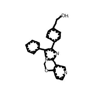 OCc1ccc(-c2nc3n(c2-c2ccccc2)COc2ccncc2-3)cc1